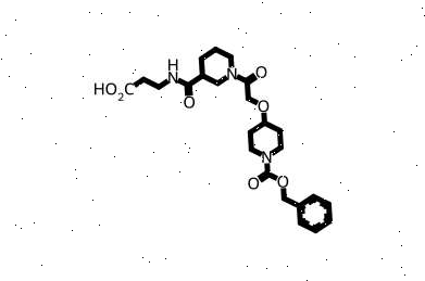 O=C(O)CCNC(=O)C1CCCN(C(=O)COC2CCN(C(=O)OCc3ccccc3)CC2)C1